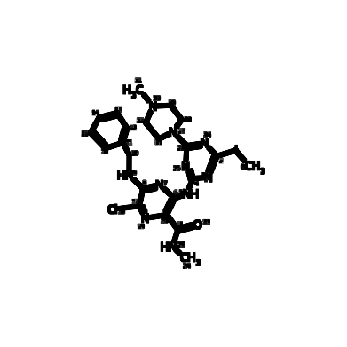 CCc1nc(Nc2nc(NCc3ccccc3)c(Cl)nc2C(=O)NC)nc(N2CCN(C)CC2)n1